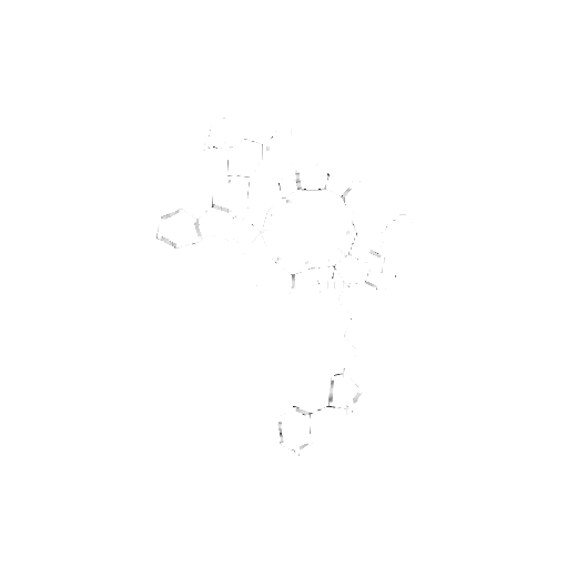 C/C=C\[C@]12OC(=O)N(CCCCn3cnc(-c4cccnc4)c3)[C@@H]1[C@@H](C)C(=O)[C@H](C)C[C@](C)(OC)[C@H](OC1O[C@H](C)C[C@H](N(C)C)[C@H]1OC(=O)c1ccccc1)[C@@H](C)C(=O)[C@@H](C)C(=O)O[C@@H]2CC